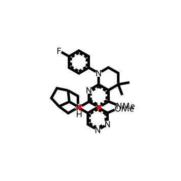 CNc1nc(NC2C3CCC2CN(c2cnnc(OC)c2)C3)nc2c1C(C)(C)CCN2c1ccc(F)cc1